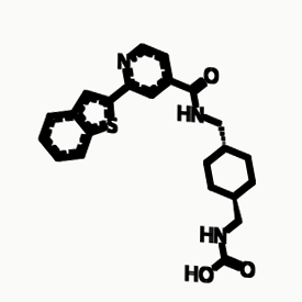 O=C(O)NC[C@H]1CC[C@H](CNC(=O)c2ccnc(-c3cc4ccccc4s3)c2)CC1